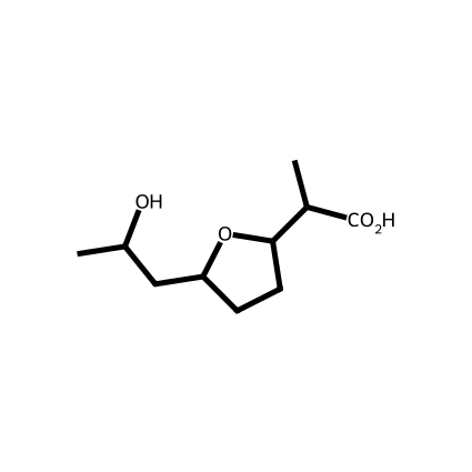 CC(O)CC1CCC(C(C)C(=O)O)O1